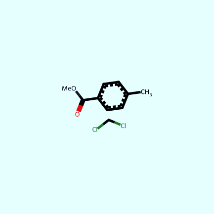 COC(=O)c1ccc(C)cc1.ClCCl